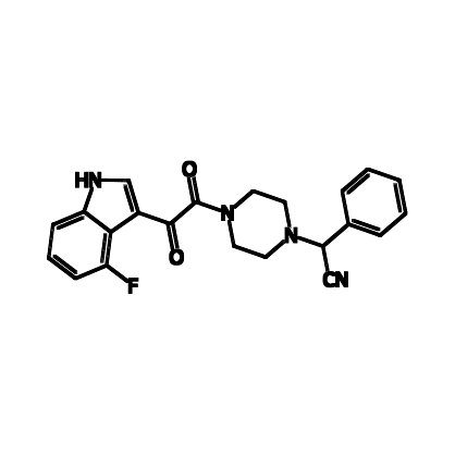 N#CC(c1ccccc1)N1CCN(C(=O)C(=O)c2c[nH]c3cccc(F)c23)CC1